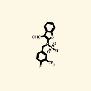 CCS(=O)(=O)N(Cc1ccc(F)c(C(F)(F)F)c1)c1sc2ccccc2c1C=O